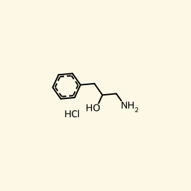 Cl.NCC(O)Cc1ccccc1